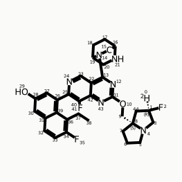 [2H][C@]1(F)CN2CCC[C@@]2(COc2nc(N3CC4CCC3CN4)c3cnc(-c4cc(O)cc5ccc(F)c(CC)c45)c(F)c3n2)C1